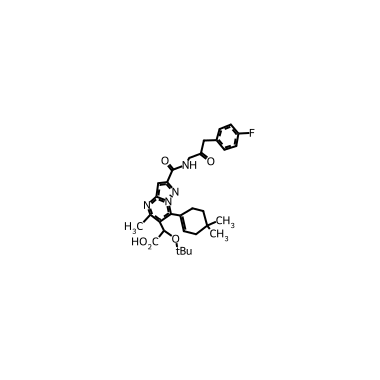 Cc1nc2cc(C(=O)NCC(=O)Cc3ccc(F)cc3)nn2c(C2=CCC(C)(C)CC2)c1C(OC(C)(C)C)C(=O)O